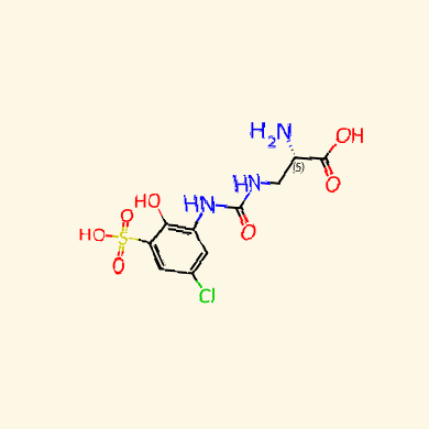 N[C@@H](CNC(=O)Nc1cc(Cl)cc(S(=O)(=O)O)c1O)C(=O)O